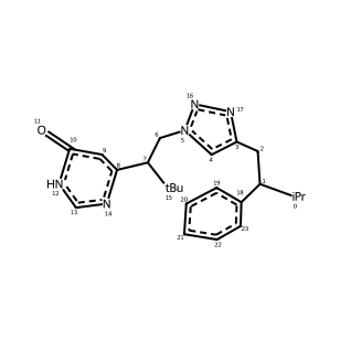 CC(C)C(Cc1cn(CC(c2cc(=O)[nH]cn2)C(C)(C)C)nn1)c1ccccc1